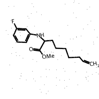 C=CCCCCCC(Nc1cccc(F)c1)C(=O)OC